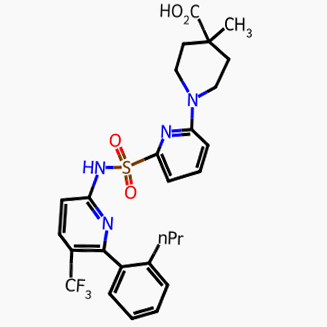 CCCc1ccccc1-c1nc(NS(=O)(=O)c2cccc(N3CCC(C)(C(=O)O)CC3)n2)ccc1C(F)(F)F